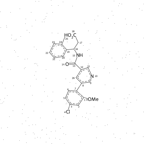 COc1cc(Cl)ccc1-c1cncc(C(=O)NC(CC(=O)O)c2ccccc2C)c1